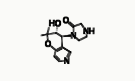 CC1(C)Oc2ccncc2[C@H](N2CCNCC2=O)[C@H]1O